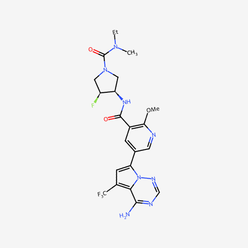 CCN(C)C(=O)N1C[C@H](F)[C@H](NC(=O)c2cc(-c3cc(C(F)(F)F)c4c(N)ncnn34)cnc2OC)C1